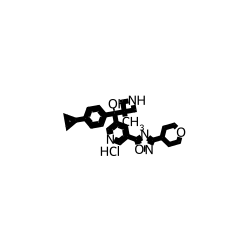 CC1([C@](O)(c2ccc(C3CC3)cc2)c2cncc(-c3nc(C4CCOCC4)no3)c2)CNC1.Cl